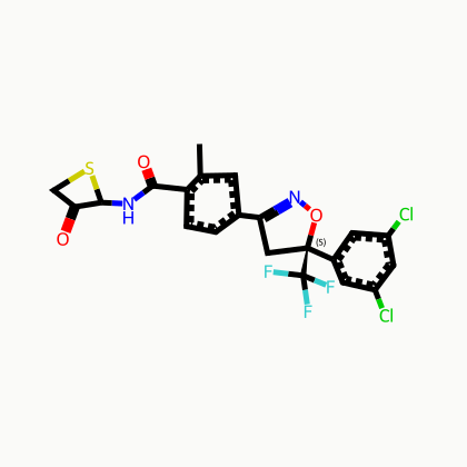 Cc1cc(C2=NO[C@@](c3cc(Cl)cc(Cl)c3)(C(F)(F)F)C2)ccc1C(=O)NC1SCC1=O